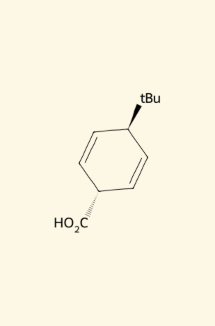 CC(C)(C)[C@H]1C=C[C@H](C(=O)O)C=C1